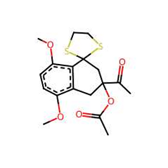 COc1ccc(OC)c2c1CC(OC(C)=O)(C(C)=O)CC21SCCS1